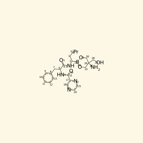 CC(C)CC(NC(=O)C(Cc1ccccc1)NC(=O)c1cnccn1)B1OCC(N)(CO)CO1